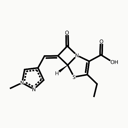 CCC1=C(C(=O)O)N2C(=O)/C(=C/c3cnn(C)c3)[C@H]2S1